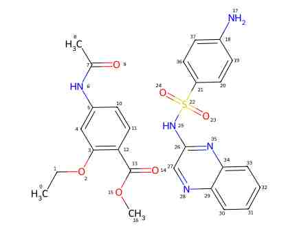 CCOc1cc(NC(C)=O)ccc1C(=O)OC.Nc1ccc(S(=O)(=O)Nc2cnc3ccccc3n2)cc1